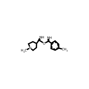 Cc1ccc(C(=N)OC(=N)C2CCN(C)CC2)cc1